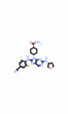 N#Cc1cc(F)c(Nc2nc3cnc(N[C@@H]4CCOC4)nc3n2[C@H]2CC[C@H](C(N)=O)CC2)c(F)c1